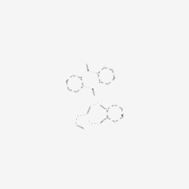 C1=CN2C=c3ccccc3=NC=C2C1.O=C1c2ccccc2C(=O)c2ccccc21